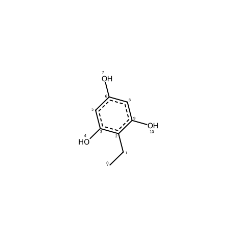 [CH2]Cc1c(O)cc(O)cc1O